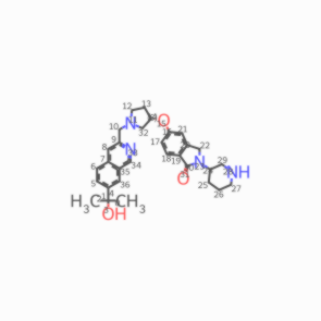 CC(C)(O)c1ccc2cc(CN3CC[C@H](Oc4ccc5c(c4)CN(C4CCCNC4)C5=O)C3)ncc2c1